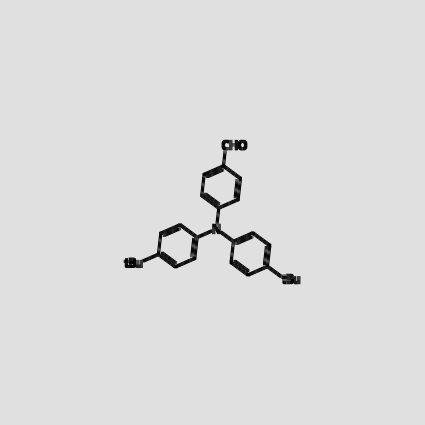 CC(C)(C)c1ccc(N(c2ccc(C=O)cc2)c2ccc(C(C)(C)C)cc2)cc1